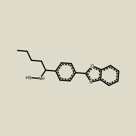 CCCCC(NS)c1ccc(-c2nc3ccccc3o2)cc1